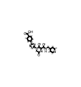 O=C1CN(c2nnn(-c3ccc(C(=O)O)cc3)n2)C(=O)C(C(=O)NCc2ccncc2)=N1